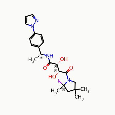 C[C@@H](NC(=O)[C@H](O)[C@@H](O)C(=O)N1CC(C)(C)C[C@]1(C)I)c1ccc(-n2cccn2)cc1